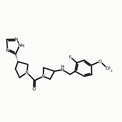 O=C(N1CC(NCc2ccc(OC(F)(F)F)cc2F)C1)N1CC[C@H](c2ncn[nH]2)C1